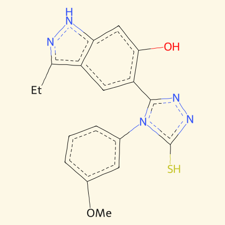 CCc1n[nH]c2cc(O)c(-c3nnc(S)n3-c3cccc(OC)c3)cc12